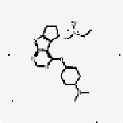 CC[S@@+]([O-])C[C@H]1CCc2sc3ncnc(OC4CCC(N(C)C)CC4)c3c21